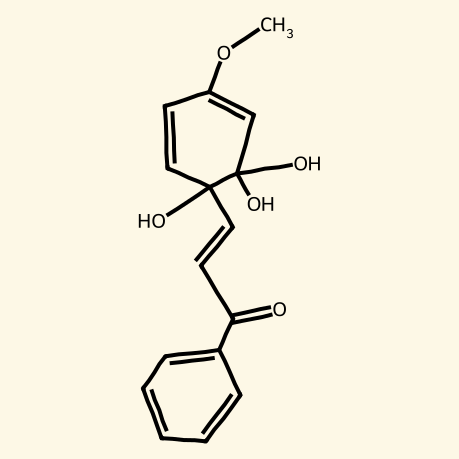 COC1=CC(O)(O)C(O)(C=CC(=O)c2ccccc2)C=C1